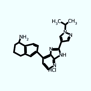 CC(C)n1cc(-c2nc3c(-c4ccc5c(c4)CCCC5N)ccnc3[nH]2)cn1.Cl